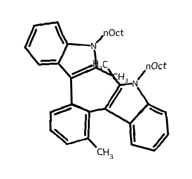 CCCCCCCCn1c(C)c(-c2cccc(C)c2-c2c(C)n(CCCCCCCC)c3ccccc23)c2ccccc21